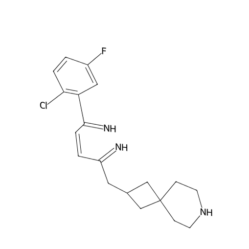 N=C(/C=C\C(=N)c1cc(F)ccc1Cl)CC1CC2(CCNCC2)C1